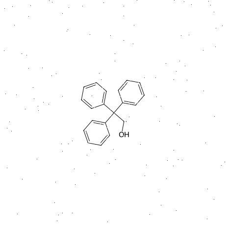 O[CH]C(c1ccccc1)(c1ccccc1)c1ccccc1